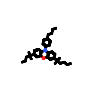 CCCCc1ccc(N2c3ccc(C(C)(C)CCC)cc3Oc3cc(C(C)(C)CCCC)ccc32)cc1